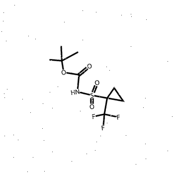 CC(C)(C)OC(=O)NS(=O)(=O)C1(C(F)(F)F)CC1